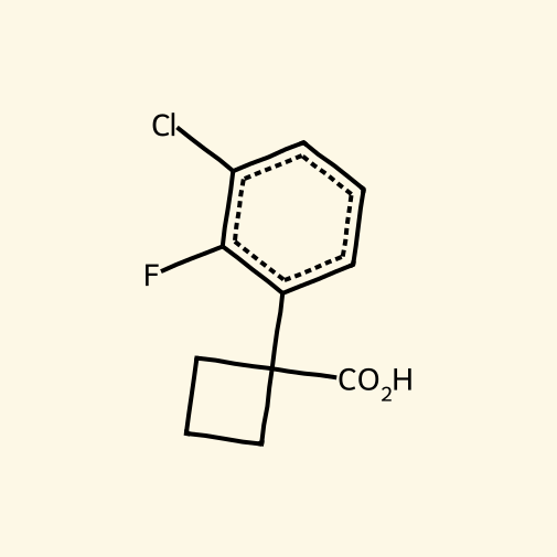 O=C(O)C1(c2cccc(Cl)c2F)CCC1